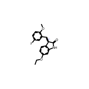 CCOc1ccc2c(c1)NC(=O)/C2=C/c1cc(F)ccc1OC